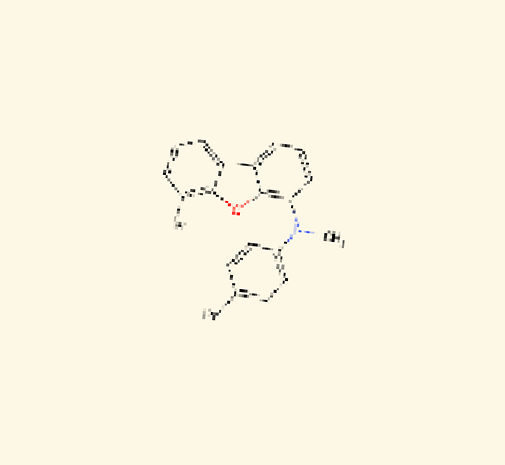 CC(C)c1ccc(N(C)c2cccc3c2oc2c(C(C)C)cccc23)cc1